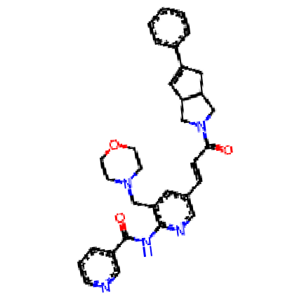 O=C(Nc1ncc(/C=C/C(=O)N2CC3C=C(c4ccccc4)CC3C2)cc1CN1CCOCC1)c1cccnc1